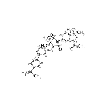 CC(=O)N1CC(C)(C)c2ccc(N3C(=O)N(Cc4ccnc(-c5ccc(N(C)C)cc5)c4)C(C)(C)C3=O)cc21